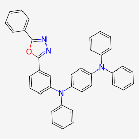 c1ccc(-c2nnc(-c3cccc(N(c4ccccc4)c4ccc(N(c5ccccc5)c5ccccc5)cc4)c3)o2)cc1